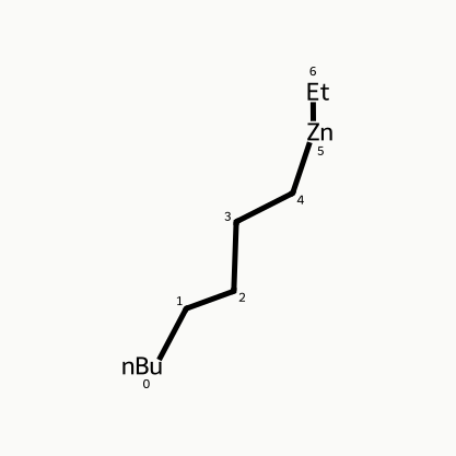 CCCCCCC[CH2][Zn][CH2]C